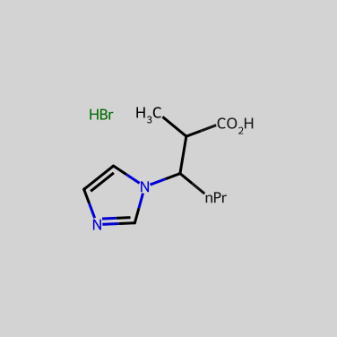 Br.CCCC(C(C)C(=O)O)n1ccnc1